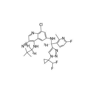 [2H]C([2H])(Nc1c(C#N)cnc2c(Cl)cc(N[C@]([2H])(c3cn(C4(C(F)F)CC4)nn3)c3ccc(F)nc3C)cc12)C(C)(C)C